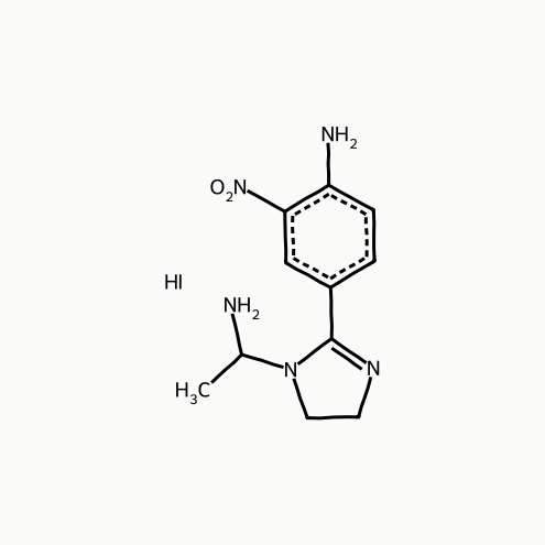 CC(N)N1CCN=C1c1ccc(N)c([N+](=O)[O-])c1.I